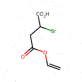 C=COC(=O)CC(Br)C(=O)O